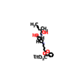 CC#CCC(C)C(O)/C=C/[C@@H]1[C@H]2C/C(=C/CCCC(=O)O[C@H](C(=O)OCC)c3ccccc3)C[C@H]2C[C@H]1O